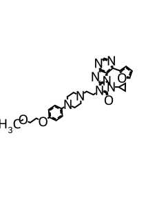 COCCOc1ccc(N2CCN(CCn3c(=O)n(C4CC4)n4c5c(-c6ccco6)ncnc5nc34)CC2)cc1